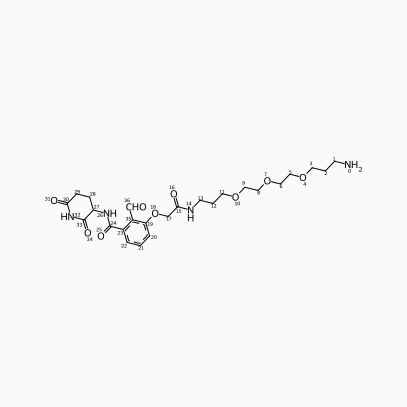 NCCCOCCOCCOCCCNC(=O)COc1cccc(C(=O)NC2CCC(=O)NC2=O)c1C=O